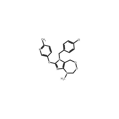 Cc1ccc(Oc2nc3c(n2Cc2ccc(Cl)cc2)COOCN3C)cn1